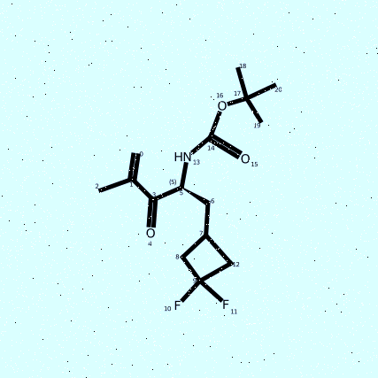 C=C(C)C(=O)[C@H](CC1CC(F)(F)C1)NC(=O)OC(C)(C)C